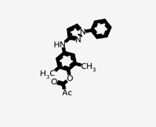 CC(=O)C(=O)Oc1c(C)cc(Nc2ccn(-c3ccccc3)n2)cc1C